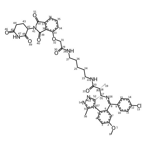 COc1ccc2c(c1)C(c1ccc(Cl)cc1)=N[C@@H]([C@@H](C)C(=O)NCCCCCNC(=O)COc1cccc3c1C(=O)N(C1CCC(=O)NC1=O)C3=O)c1nnc(C)n1-2